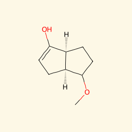 COC1CC[C@@H]2C(O)=CC[C@H]12